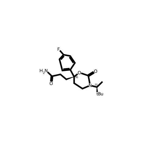 C[C@H](N1CC[C@](CCC(N)=O)(c2ccc(F)cc2)OC1=O)C(C)(C)C